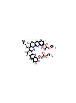 CCCCc1c2c(nc3c1CCc1cc4cccc(OCC(=O)OC)c4nc1-3)-c1nc3c(OCC(=O)OC)cccc3cc1CC2